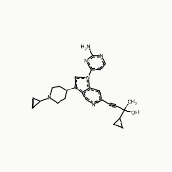 CC(O)(C#Cc1cc2c(cn1)c(C1CCN(C3CC3)CC1)cn2-c1ccnc(N)n1)C1CC1